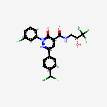 O=C(NC[C@@H](O)C(F)(F)F)c1cc(-c2ccc(C(F)F)cc2)nn(-c2cccc(F)c2)c1=O